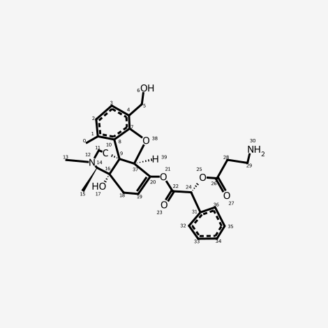 Cc1ccc(CO)c2c1[C@]13CCN(C)[C@H](C)[C@]1(O)CC=C(OC(=O)[C@H](OC(=O)CCN)c1ccccc1)[C@@H]3O2